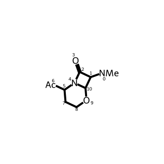 CNC1C(=O)N2C(C(C)=O)CCOC12